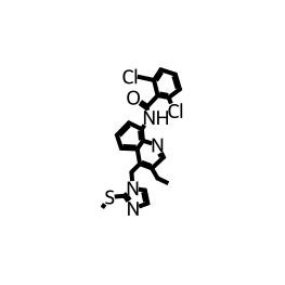 CCc1cnc2c(NC(=O)c3c(Cl)cccc3Cl)cccc2c1Cn1ccnc1SC